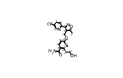 Cc1onc(-c2ccc(Cl)cn2)c1COc1ccc(C(N)=O)c(CCO)n1